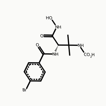 CC(C)(NC(=O)O)[C@H](NC(=O)c1ccc(Br)cc1)C(=O)NO